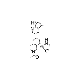 CC(=O)N1CCc2cc(-c3cnc4[nH]cc(C)c4c3)cc([C@H]3COCCN3)c2C1